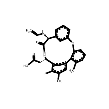 C=CN[C@@H]1C(=O)N[C@@H](CC(=O)O)c2cc(cc(C)c2F)-c2c(C)cccc2Oc2cccc1c2